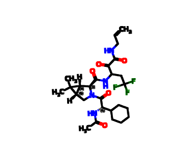 C=CCNC(=O)C(=O)C(CC(F)(F)F)NC(=O)[C@@H]1[C@@H]2[C@H](CN1C(=O)[C@@H](NC(C)=O)C1CCCCC1)C2(C)C